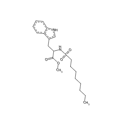 CCCCCCCCS(=O)(=O)NC(Cc1c[nH]c2ccccc12)C(=O)OC